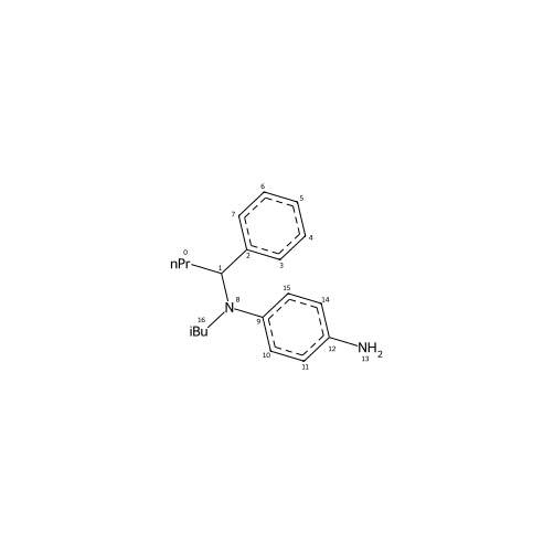 CCCC(c1ccccc1)N(c1ccc(N)cc1)C(C)CC